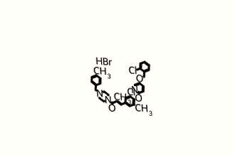 Br.C/C(=C\c1cc(C)c(Oc2ccc(OCc3ccccc3Cl)cn2)c(Cl)c1)C(=O)N1CCN(Cc2ccc(C)cc2)CC1